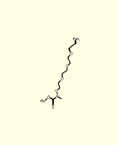 CN(OCCOCCOCCOCCN)C(=O)OC(C)(C)C